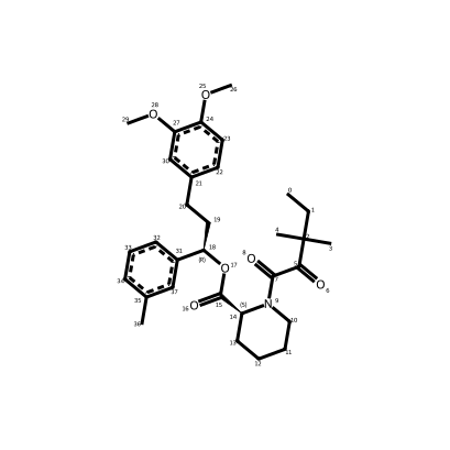 CCC(C)(C)C(=O)C(=O)N1CCCC[C@H]1C(=O)O[C@H](CCc1ccc(OC)c(OC)c1)c1cccc(C)c1